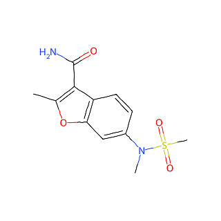 Cc1oc2cc(N(C)S(C)(=O)=O)ccc2c1C(N)=O